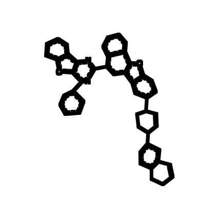 C1=Cc2cc(C3C=CC(c4ccc5oc6c7ccccc7c(-c7nc(-c8ccccc8)c8oc9ccccc9c8n7)cc6c5c4)CC3)ccc2CC1